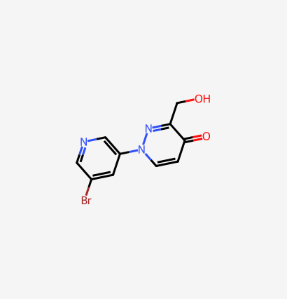 O=c1ccn(-c2cncc(Br)c2)nc1CO